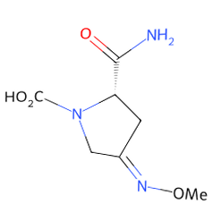 CO/N=C1\C[C@@H](C(N)=O)N(C(=O)O)C1